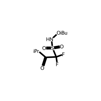 CC(C)CONS(=O)(=O)C(F)(F)C(=O)C(C)C